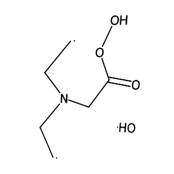 [CH2]CN(C[CH2])CC(=O)OO.[OH]